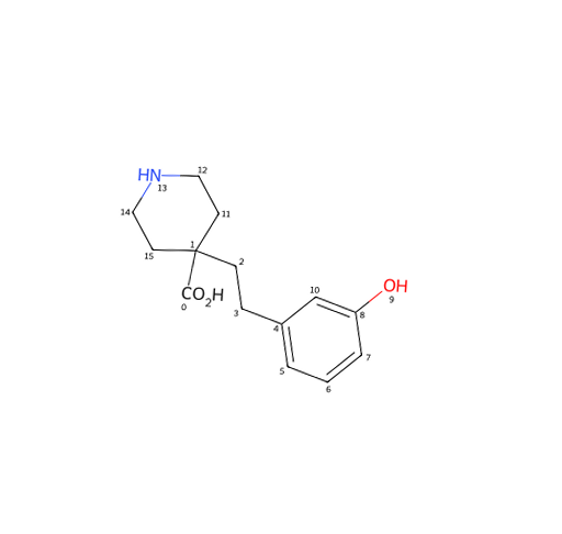 O=C(O)C1(CCc2cccc(O)c2)CCNCC1